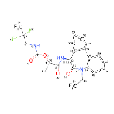 C[C@H](OC(=O)NCC(F)(F)C(F)(F)F)C(=O)N[C@@H]1C(=O)N(CC(F)(F)F)c2ccccc2-c2ccccc21